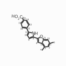 Cc1cc(C)c2cc(-c3ccc(-c4ccc(C(=O)O)cc4)[nH]3)oc2c1